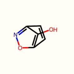 Oc1c2noc1C=C2